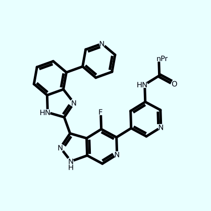 CCCC(=O)Nc1cncc(-c2ncc3[nH]nc(-c4nc5c(-c6cccnc6)cccc5[nH]4)c3c2F)c1